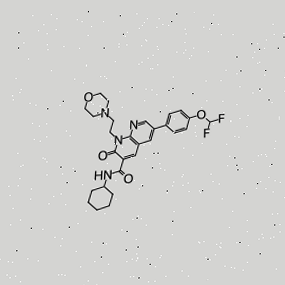 O=C(NC1CCCCC1)c1cc2cc(-c3ccc(OC(F)F)cc3)cnc2n(CCN2CCOCC2)c1=O